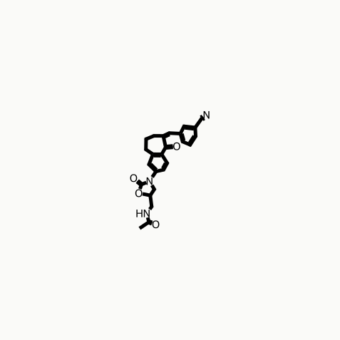 CC(=O)NCC1CN(c2ccc3c(c2)CCCC(=Cc2cccc(C#N)c2)C3=O)C(=O)O1